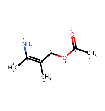 CC(=O)OC/C(C)=C(/C)N